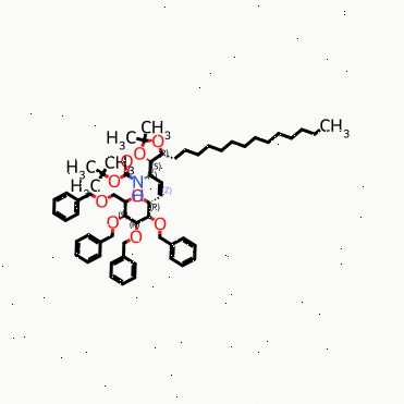 CCCCCCCCCCCCCC[C@H]1OC(C)(C)O[C@H]1[C@H](/C=C\[C@H]1OC(COCc2ccccc2)[C@H](OCc2ccccc2)[C@H](OCc2ccccc2)C1OCc1ccccc1)NC(=O)OC(C)(C)C